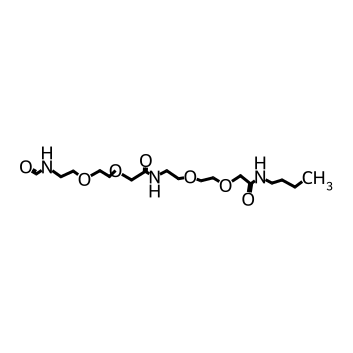 CCCCNC(=O)COCCOCCNC(=O)COCCOCCNC=O